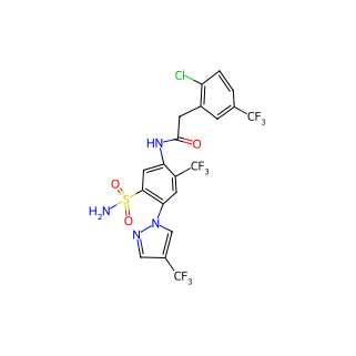 NS(=O)(=O)c1cc(NC(=O)Cc2cc(C(F)(F)F)ccc2Cl)c(C(F)(F)F)cc1-n1cc(C(F)(F)F)cn1